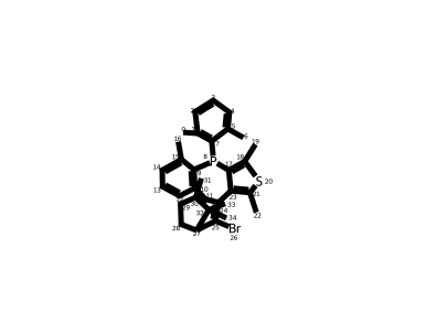 Cc1cccc(C)c1P(c1c(C)cccc1C)c1c(C)sc(C)c1C1=C(Br)C2CCC1(C)C2(C)C